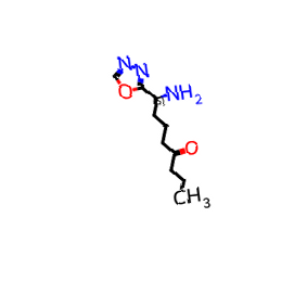 CCCC(=O)CCC[C@H](N)c1nnco1